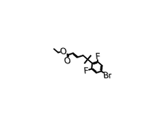 CCOC(=O)C=CCC(C)(C)c1c(F)cc(Br)cc1F